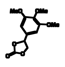 COc1cc(C2COC(=O)O2)cc(OC)c1OC